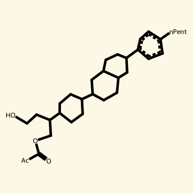 CCCCCc1ccc(C2CCC3CC(C4CCC(C(CCO)COC(=O)C(C)=O)CC4)CCC3C2)cc1